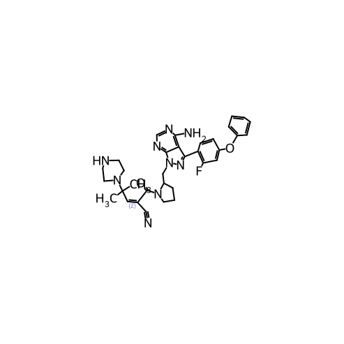 CC(C)(/C=C(/C#N)C(=O)N1CCCC1Cn1nc(-c2ccc(Oc3ccccc3)cc2F)c2c(N)ncnc21)N1CCNCC1